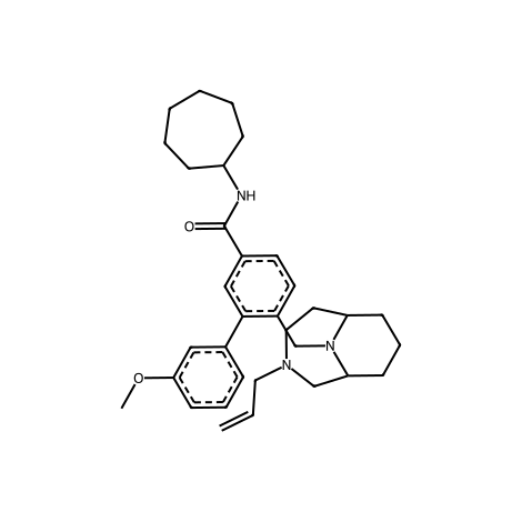 C=CCN1CCC2CCCC(C1)N2Cc1ccc(C(=O)NC2CCCCCC2)cc1-c1cccc(OC)c1